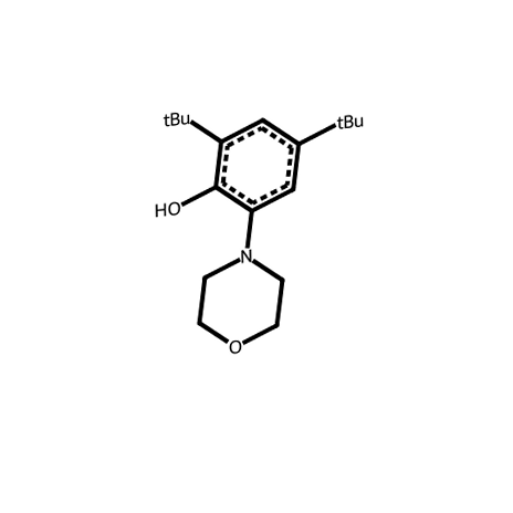 CC(C)(C)c1cc(N2CCOCC2)c(O)c(C(C)(C)C)c1